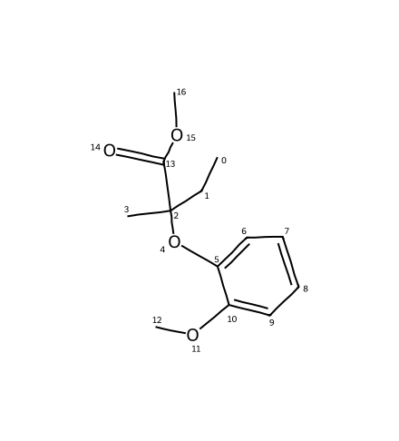 CCC(C)(Oc1ccccc1OC)C(=O)OC